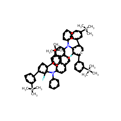 C[Si](C)(C)c1cccc(-c2ccc(-c3cccc([Si](C)(C)C)c3)c(N(c3ccccc3)c3ccc4ccc5c(N(c6ccccc6)c6c(-c7cccc([Si](C)(C)C)c7)ccc(-c7cccc([Si](C)(C)C)c7)c6F)ccc6ccc3c4c65)c2F)c1